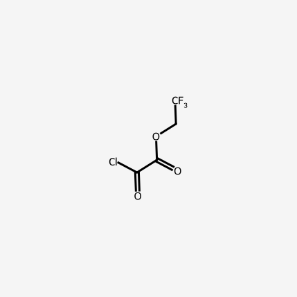 O=C(Cl)C(=O)OCC(F)(F)F